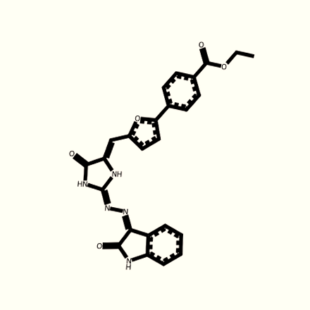 CCOC(=O)c1ccc(-c2ccc(/C=C3\N/C(=N\N=C4/C(=O)Nc5ccccc54)NC3=O)o2)cc1